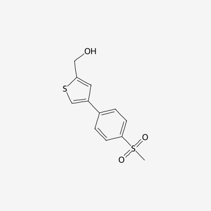 CS(=O)(=O)c1ccc(-c2csc(CO)c2)cc1